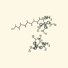 CCCCCCCCCCC(N)[Si](OCC)(OCC)OCC.CCO[Si](OCC)(OCC)C(N)CC